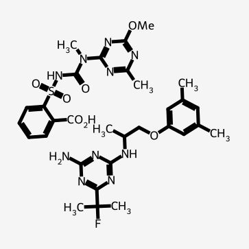 COc1nc(C)nc(N(C)C(=O)NS(=O)(=O)c2ccccc2C(=O)O)n1.Cc1cc(C)cc(OCC(C)Nc2nc(N)nc(C(C)(C)F)n2)c1